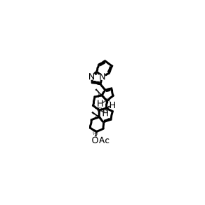 CC(=O)O[C@H]1CC[C@@]2(C)C(=CC[C@@H]3[C@@H]2CC[C@]2(C)C(c4cnc5ccccn45)=CC[C@@H]32)C1